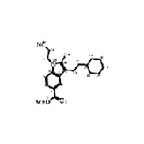 COC(=O)c1ccc2c(c1)c(CCC1CCCCC1)c(I)n2CCC#N